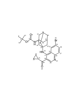 CC(C)(C)OC(=O)NC12CC3CC(C1)CC(Nc1c(C(=O)C4CC4)cnc4ccc(Br)cc14)(C3)C2